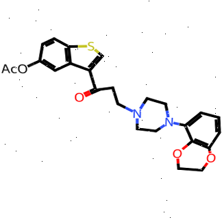 CC(=O)Oc1ccc2scc(C(=O)CCN3CCN(c4cccc5c4OCCO5)CC3)c2c1